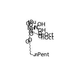 CCCCC/C=C\C/C=C\CCCCCCCC(=O)OCCCCCC(CNCC(=O)OC(C)(C)C)N(CCCN(CCO)CCO)C(=O)CCCCC(=O)OC(CCCCCCCC)CCCCCCCC